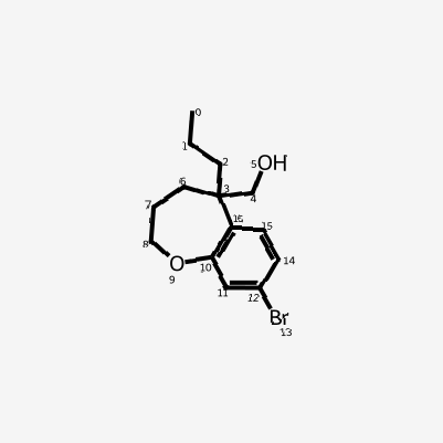 CCCC1(CO)CCCOc2cc(Br)ccc21